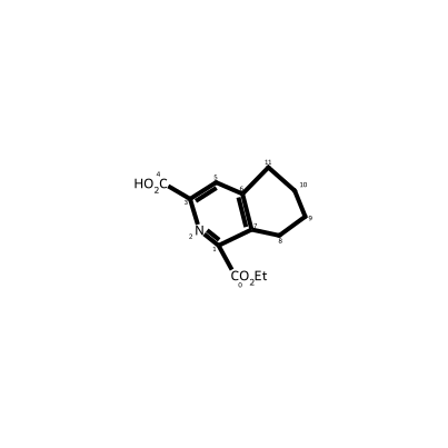 CCOC(=O)c1nc(C(=O)O)cc2c1CCCC2